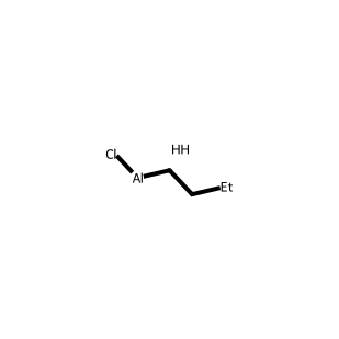 CCC[CH2][Al][Cl].[HH]